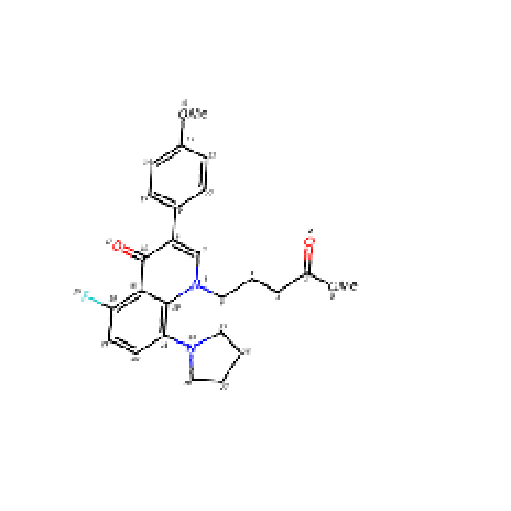 COC(=O)CCCn1cc(-c2ccc(OC)cc2)c(=O)c2c(F)ccc(N3CCCC3)c21